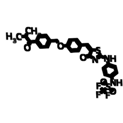 CC(C)C(=O)c1ccc(COc2ccc(C=C3SC(Nc4ccc(NS(=O)(=O)C(F)(F)F)cc4)=NC3=O)cc2)cc1